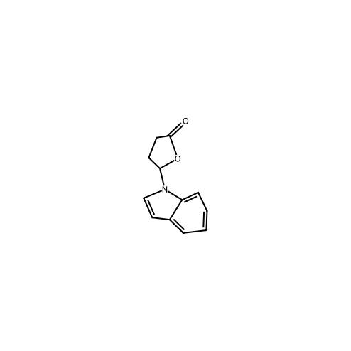 O=C1CCC(n2ccc3ccccc32)O1